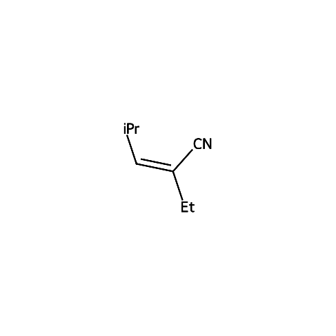 CCC(C#N)=CC(C)C